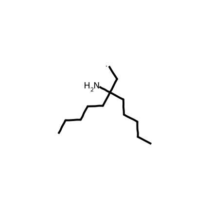 [CH2]CC(N)(CCCCC)CCCCC